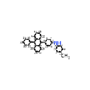 Cc1ccc(Nc2ccc(-c3c4ccccc4c(-c4ccccc4)c4ccccc34)cc2)cc1